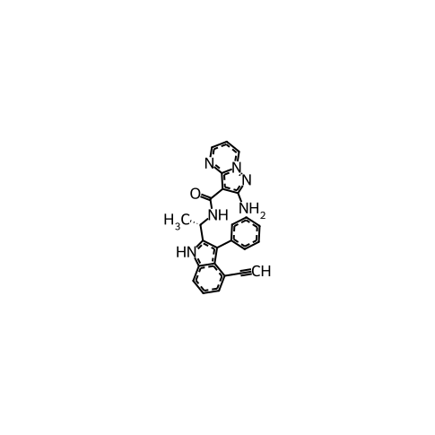 C#Cc1cccc2[nH]c([C@H](C)NC(=O)c3c(N)nn4cccnc34)c(-c3ccccc3)c12